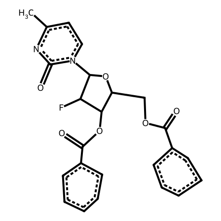 Cc1ccn(C2OC(COC(=O)c3ccccc3)C(OC(=O)c3ccccc3)C2F)c(=O)n1